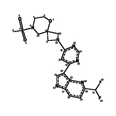 CS(=O)(=O)N1CCOC2(CN(c3cc(-c4cnc5ccc(C(F)F)nn45)ncn3)C2)C1